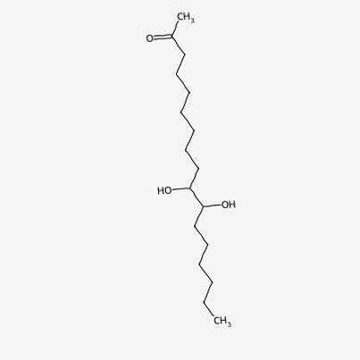 CCCCCCC(O)C(O)CCCCCCCC(C)=O